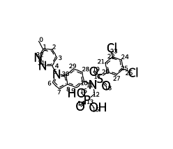 Cc1ccc(-n2ccc3cc(N(CP(=O)(O)O)S(=O)(=O)c4cc(Cl)cc(Cl)c4)ccc32)nn1